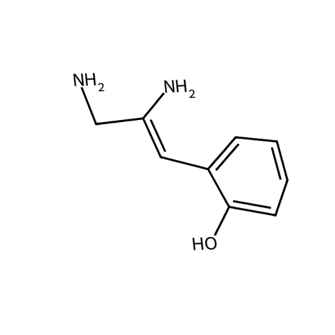 NCC(N)=Cc1ccccc1O